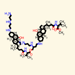 COC(=O)[C@@H](NC(=O)CC[C@@H](C)[C@H]1CC[C@H]2[C@@H]3[C@H](O)C[C@@H]4C[C@@H](NCCC(COC(=O)[C@@H](NC(=O)CC[C@@H](C)[C@H]5CC[C@H]6[C@@H]7[C@H](O)C[C@@H]8C[C@@H](NCCCNCCCN)CC[C@]8(C)[C@H]7CC[C@]56C)C(C)C)NCCCN)CC[C@]4(C)[C@H]3CC[C@]12C)C(C)C